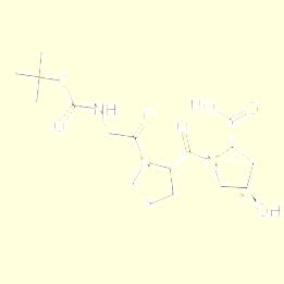 CC(C)(C)OC(=O)NCC(=O)N1CCC[C@H]1C(=O)N1C[C@H](O)C[C@H]1C(=O)O